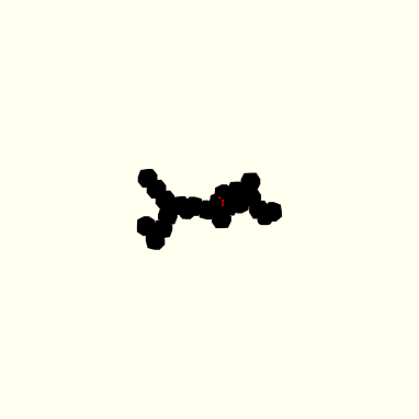 CC1(C)c2cc(-c3ccc4c(c3)c3ccccc3n4-c3ccccc3-c3ccc(C4(c5ccccc5)c5ccccc5-c5ccc(N(c6ccccc6)c6ccc(-c7ccc8oc9ccccc9c8c7)cc6)cc54)cc3)ccc2-c2ccc(N(c3ccc(-c4ccc(-c5ccccc5)cc4)cc3)c3ccc(-c4ccc5c6ccccc6n(-c6ccccc6)c5c4)cc3)cc21